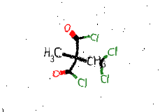 CC(C)(C(=O)Cl)C(=O)Cl.ClCCl